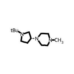 CN1CCN([C@@H]2CCN(C(C)(C)C)C2)CC1